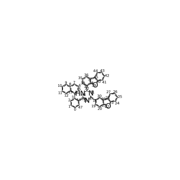 c1ccc(-c2cccc3ccccc23)c(C2=NC(c3ccc4oc5ccccc5c4c3)=NC(c3cccc4c3oc3ccccc34)N2)c1